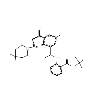 Cc1cc(C(C)Nc2ccccc2C(=O)OC(C)(C)C)c2oc(N3CCC(C)(C)CC3)cc(=O)c2c1